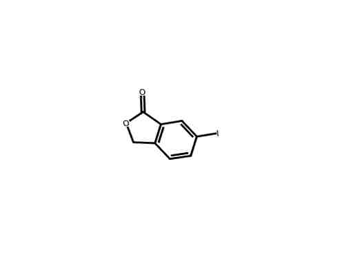 O=C1OCc2ccc(I)cc21